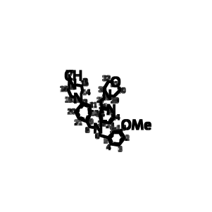 COc1cccc(CN(Cc2ccc(N3CCN(C)CC3)cc2)c2ccnc(CN3CCOCC3)c2)c1